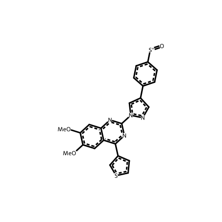 COc1cc2nc(-n3cc(-c4ccc([S+]=O)cc4)cn3)nc(-c3ccsc3)c2cc1OC